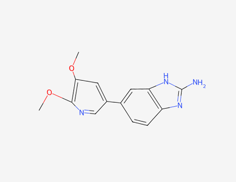 COc1cc(-c2ccc3nc(N)[nH]c3c2)cnc1OC